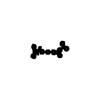 Cc1cc(-c2ccc(-c3ccc(-n4c5ccccc5c5cc(N(c6ccccc6)c6ccccc6)ccc54)cc3)cc2)ccc1-c1cc(-c2ccccc2)nc(-c2ccccc2)n1